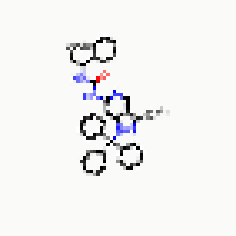 COCC(NC(=O)Nc1cc2c(cn1)c(OC)nn2C(c1ccccc1)(c1ccccc1)c1ccccc1)c1ccccc1